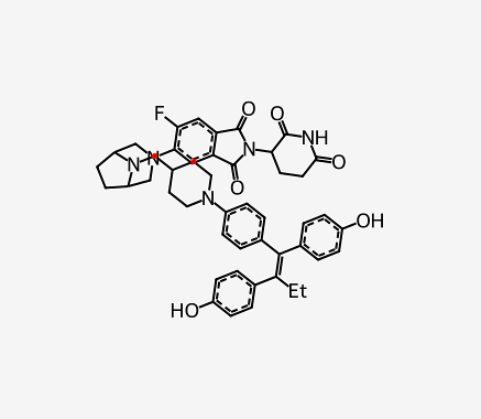 CCC(=C(c1ccc(O)cc1)c1ccc(N2CCC(CN3C4CCC3CN(c3cc5c(cc3F)C(=O)N(C3CCC(=O)NC3=O)C5=O)C4)CC2)cc1)c1ccc(O)cc1